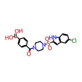 O=C(c1ccc(B(O)O)cc1)N1CCN(S(=O)(=O)c2cc3cc(Cl)ccc3[nH]2)CC1